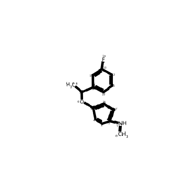 CNc1ccc(OC(C)c2cccc(F)c2)cc1